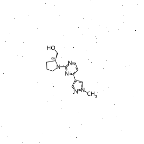 Cn1cc(-c2ccnc(N3CCC[C@H]3CO)n2)cn1